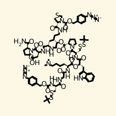 C[C@H](OC(=O)[C@@H]1CCCN1C(=O)[C@H](CSSC(C)(C)C)NC(=O)[C@H](Cc1c[nH]c2ccccc12)OC(=O)[C@H](CCCCN(C)C)NC(=O)CNC(=O)[C@H](CSSC(C)(C)C)NC(=O)OCc1ccc(N=[N+]=[N-])cc1)C(=O)N[C@@H](CCCCNC(=O)[C@@H]1CSCN1C(=O)OCc1ccc(N=[N+]=[N-])cc1)C(=O)N[C@@H](CC(=O)O)C(=O)N1CCC[C@H]1C(N)=O